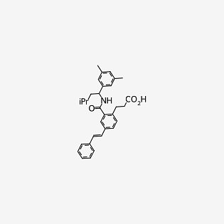 Cc1cc(C)cc(C(CC(C)C)NC(=O)c2cc(C=Cc3ccccc3)ccc2CCC(=O)O)c1